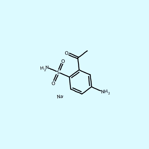 CC(=O)c1cc(N)ccc1S(N)(=O)=O.[Na]